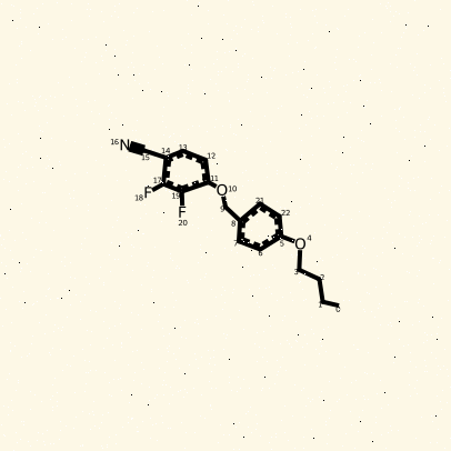 CCCCOc1ccc(COc2ccc(C#N)c(F)c2F)cc1